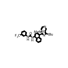 CN[N+]12C=CN=CC1=C(C(C)(C)C)N=C2c1ccc(NC(=O)Nc2cccc(C(F)(F)F)c2)c2ccccc12